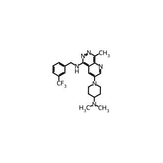 Cc1nnc(NCc2cccc(C(F)(F)F)c2)c2cc(N3CCC(N(C)C)CC3)cnc12